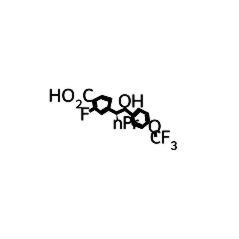 CCC[C@H](c1ccc(C(=O)O)c(F)c1)[C@@H](O)c1ccc(OC(F)(F)F)cc1